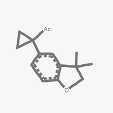 CC(=O)C1(c2ccc3c(c2)C(C)(C)CO3)CC1